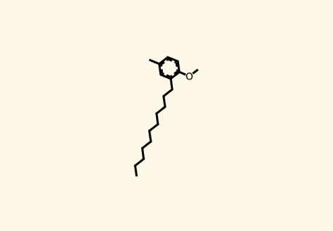 CCCCCCCCCCCc1cc(C)ccc1OC